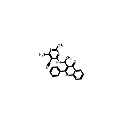 CC(Nc1nc(N)nc(N)c1C#N)c1c(-c2ccccc2)[nH]c2ccccc2c1=O